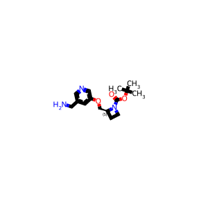 CC(C)(C)OC(=O)N1CC[C@H]1COc1cncc(CN)c1